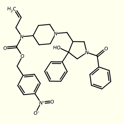 C=CCN(C(=O)OCc1ccc([N+](=O)[O-])cc1)C1CCN(CC2CN(C(=O)c3ccccc3)CC2(O)c2ccccc2)CC1